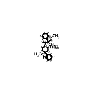 CNCC(C)(C(=O)N1CCC(c2ccccc2)(N(C)C)CC1)c1ccccc1.Cl.Cl